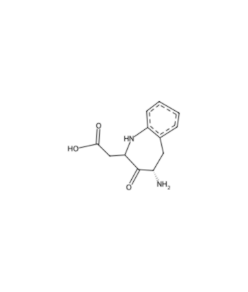 N[C@H]1Cc2ccccc2NC(CC(=O)O)C1=O